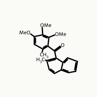 COc1cc(C)c(C(=O)c2c(C)ccc3ccccc23)c(OC)c1OC